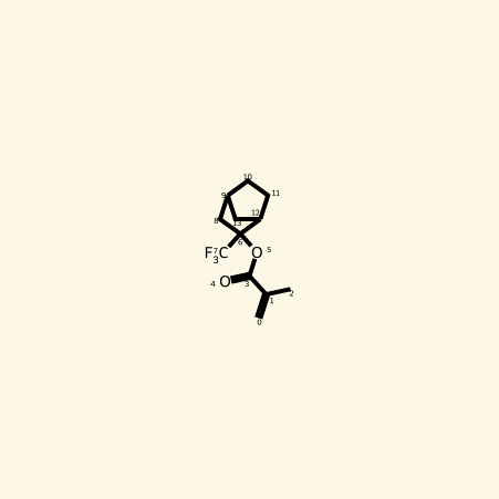 C=C(C)C(=O)OC1(C(F)(F)F)CC2CCC1C2